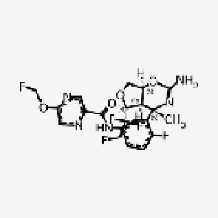 C[C@]1(c2cc(NC(=O)c3cnc(OCF)cn3)ccc2F)N=C(N)O[C@@H]2CO[C@@H](C(F)(F)CF)[C@@H]21